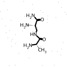 C[C@H](N)C(=O)NC[C@H](N)C(N)=O